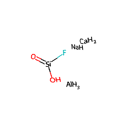 O=[Si](O)F.[AlH3].[CaH2].[NaH]